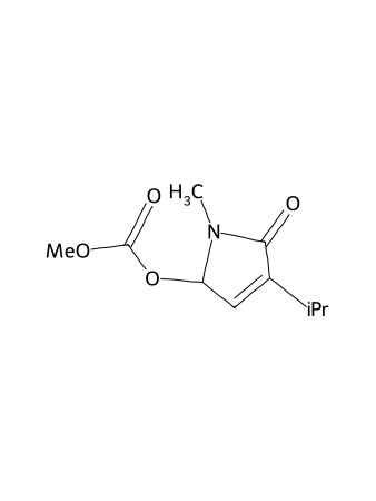 COC(=O)OC1C=C(C(C)C)C(=O)N1C